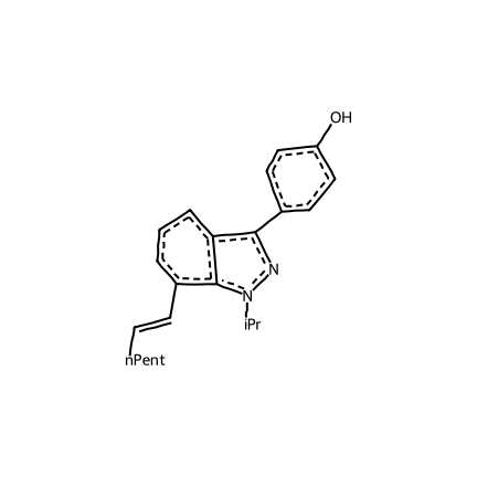 CCCCC/C=C/c1cccc2c(-c3ccc(O)cc3)nn(C(C)C)c12